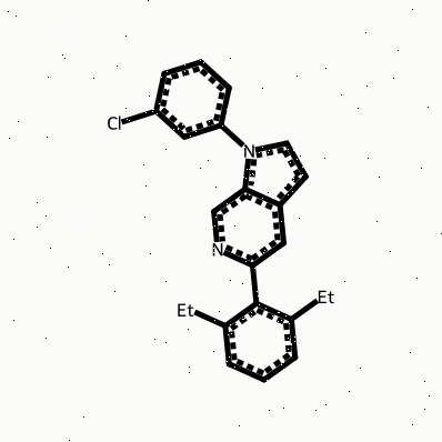 CCc1cccc(CC)c1-c1cc2ccn(-c3cccc(Cl)c3)c2cn1